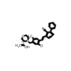 C=C(O)[C@@H]1COCCN1Cc1cc(Cl)c(/C=C/c2cccc(-c3ccccc3)c2C#N)cc1C